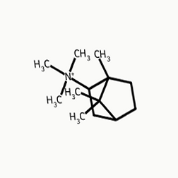 CC1(C)C2CCC1(C)C([N+](C)(C)C)C2